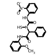 COc1ccccc1NC(=O)C(c1ccccc1)N(S)C(=O)Nc1ccccc1[N+](=O)[O-]